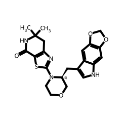 CC1(C)Cc2nc(N3CCOC[C@@H]3Cc3c[nH]c4cc5c(cc34)OCO5)sc2C(=O)N1